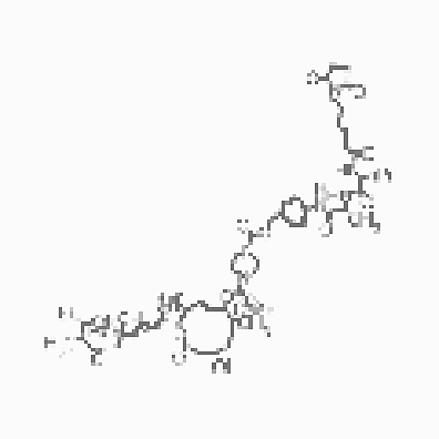 CC[C@H](O)[C@@H](C)[C@H]1O[C@@H]1CC(C)(O)/C=C/C=C(\C)[C@H]1OC(=O)C[C@H](O)CC[C@@](C)(OC)[C@@H](OC(=O)N2CCN(C(=O)OCc3ccc(NC(=O)C(C)NC(=O)C(NC(=O)CCCCCN4C(=O)C=CC4=O)C(C)C)cc3)CC2)/C=C/[C@@H]1C